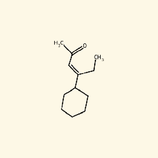 CCC(=CC(C)=O)C1CCCCC1